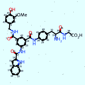 COc1cc(CNC(=O)c2cc(NC(=O)c3cc4ccccc4[nH]3)cc(C(=O)Nc3ccc(CC(N)C(=O)NCC(=O)O)cc3)c2)ccc1O